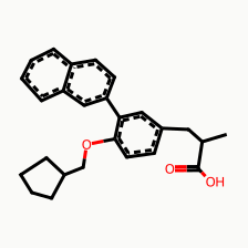 CC(Cc1ccc(OCC2CCCC2)c(-c2ccc3ccccc3c2)c1)C(=O)O